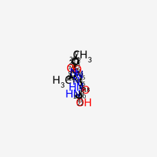 Cc1ccc(S(=O)(=O)n2cc(C)c3nc(CNC(=O)[C@H]4C[C@@H](O)CN4)cnc32)cc1